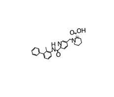 Cc1c(NC(=O)c2ccc(CN3CCCC[C@H]3C(=O)O)cn2)cccc1-c1ccccc1